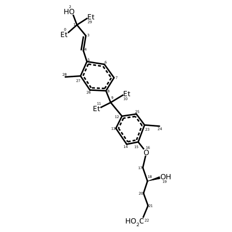 CCC(O)(C=Cc1ccc(C(CC)(CC)c2ccc(OC[C@@H](O)CCC(=O)O)c(C)c2)cc1C)CC